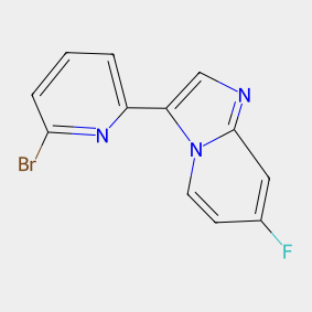 Fc1ccn2c(-c3cccc(Br)n3)cnc2c1